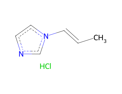 CC=Cn1ccnc1.Cl